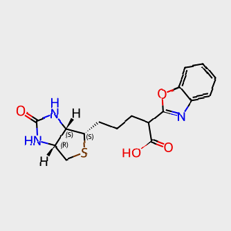 O=C1N[C@H]2[C@H](CS[C@H]2CCCC(C(=O)O)c2nc3ccccc3o2)N1